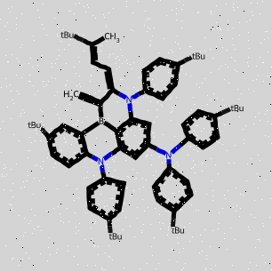 C=C1B2c3cc(C(C)(C)C)ccc3N(c3ccc(C(C)(C)C)cc3)c3cc(N(c4ccc(C(C)(C)C)cc4)c4ccc(C(C)(C)C)cc4)cc(c32)N(c2ccc(C(C)(C)C)cc2)/C1=C/C=C(\C)C(C)(C)C